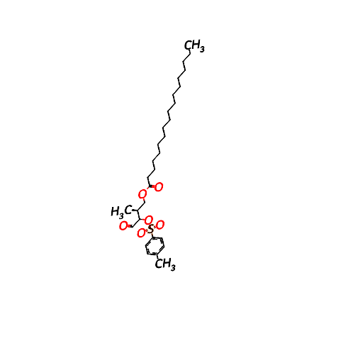 CCCCCCCCCCCCCCCCCC(=O)OC[C@H](C)C(C=O)OS(=O)(=O)c1ccc(C)cc1